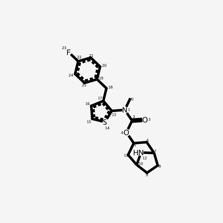 CN(C(=O)OC1CC2CCC(C1)N2)c1sccc1Cc1ccc(F)cc1